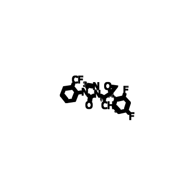 C[C@@H](n1ncn(-c2ccccc2C(F)(F)F)c1=O)[C@]1(c2ccc(F)cc2F)CO1